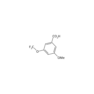 COc1cc(OC(F)(F)F)cc(C(=O)O)c1